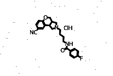 Cl.N#Cc1ccc2c(c1)C1CN(CCCCNC(=O)c3ccc(F)cc3)CC1CO2